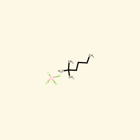 CCC[CH]C(C)(C)C.F[B-](F)(F)F